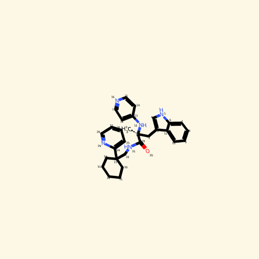 C[C@@](Cc1c[nH]c2ccccc12)(Nc1ccncc1)C(=O)NCC1(c2ccccn2)CCCCC1